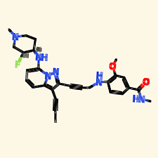 CC#Cc1c(C#CCNc2ccc(C(=O)NC)cc2OC)nn2c(N[C@@H]3CCN(C)C[C@@H]3F)cccc12